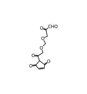 O=CC(=O)COCOCC(=O)C1C(=O)C=CC1=O